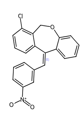 O=[N+]([O-])c1cccc(/C=C2/c3ccccc3OCc3c(Cl)cccc32)c1